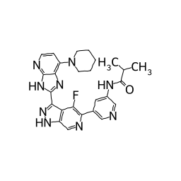 CC(C)C(=O)Nc1cncc(-c2ncc3[nH]nc(-c4nc5c(N6CCCCC6)ccnc5[nH]4)c3c2F)c1